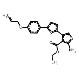 C=CCOc1ccc(-c2ccc(-c3csc(N)c3C(=O)OCC)s2)cc1